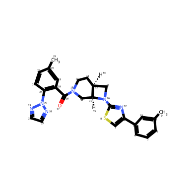 Cc1cccc(-c2csc(N3C[C@@H]4CCN(C(=O)c5cc(C)ccc5-n5nccn5)C[C@@H]43)n2)c1